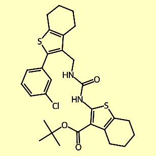 CC(C)(C)OC(=O)c1c(NC(=O)NCc2c(-c3cccc(Cl)c3)sc3c2CCCC3)sc2c1CCCC2